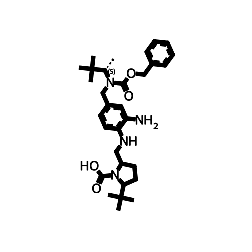 C[C@H](N(Cc1ccc(NCC2CCC(C(C)(C)C)N2C(=O)O)c(N)c1)C(=O)OCc1ccccc1)C(C)(C)C